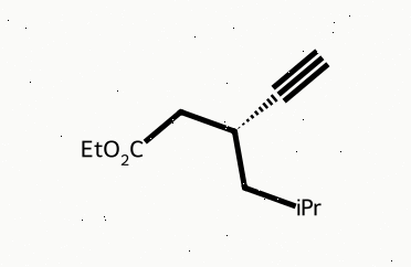 C#C[C@@H](CC(=O)OCC)CC(C)C